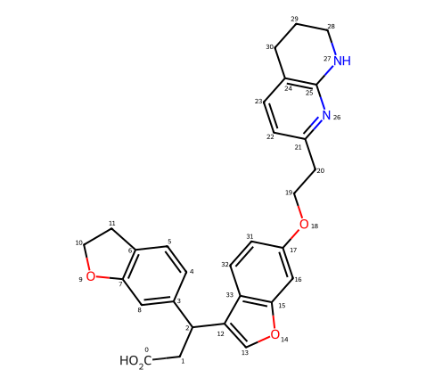 O=C(O)CC(c1ccc2c(c1)OCC2)c1coc2cc(OCCc3ccc4c(n3)NCCC4)ccc12